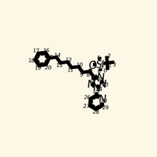 CC(C)(C)[Si](C)(C)OC(CCCCCCc1ccccc1)c1nnn(-c2ccccn2)n1